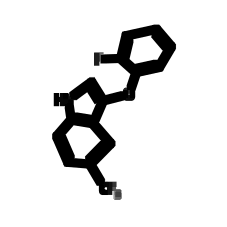 Fc1ccccc1Oc1c[nH]c2ccc(C(F)(F)F)cc12